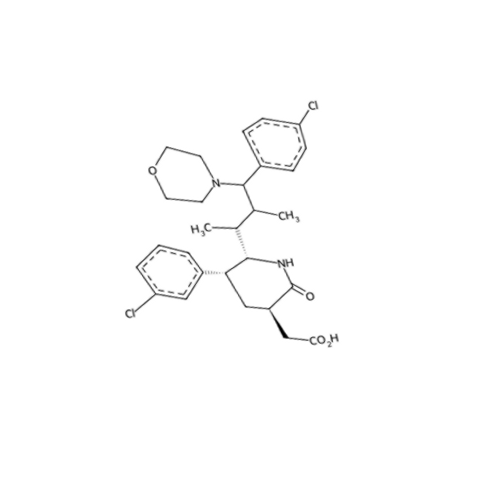 CC(C(C)[C@@H]1NC(=O)[C@@H](CC(=O)O)C[C@@H]1c1cccc(Cl)c1)C(c1ccc(Cl)cc1)N1CCOCC1